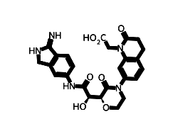 N=C1NCc2cc(NC(=O)[C@H](O)[C@H]3OCCN(c4ccc5c(c4)N(CC(=O)O)C(=O)CC5)C3=O)ccc21